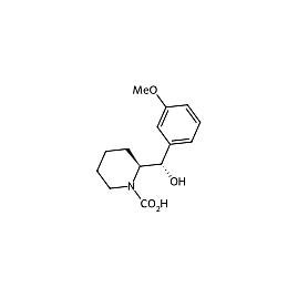 COc1cccc([C@H](O)[C@@H]2CCCCN2C(=O)O)c1